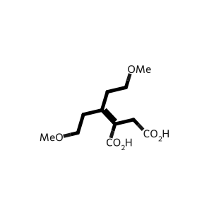 COCCC(CCOC)=C(CC(=O)O)C(=O)O